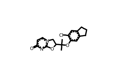 CC(C)(Oc1cc2c(cc1Cl)CCC2)C1Cn2ccc(=O)nc2O1